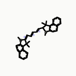 CN1/C(=C/C=C/C=C/C2N(C)c3ccc4ccccc4c3C2(C)C)C(C)(C)c2c1ccc1ccccc21